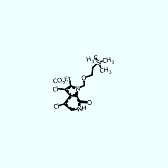 CCOC(=O)c1c(Cl)c2c(Cl)c[nH]c(=O)c2n1COCC[Si](C)(C)C